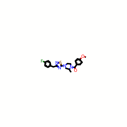 COc1ccc(C(=O)N2CCN(c3nc(Cc4ccc(F)cc4)ns3)CC2C)cc1